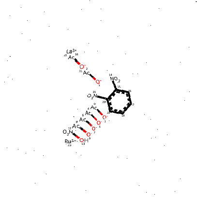 CC(=O)[O-].CC(=O)[O-].CC(=O)[O-].CC(=O)[O-].CC(=O)[O-].CC(=O)[O-].O=[N+]([O-])O.O=[N+]([O-])c1ccccc1[N+](=O)[O-].[La+3].[Ru+3]